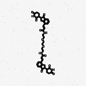 O=C(/C=C/c1cccc2c1CN(C1CCC(=O)NC1=O)C2=O)NCCOCCOCCNC(=O)/C=C/c1cccc2c1CN(C1CCC(=O)NC1=O)C2=O